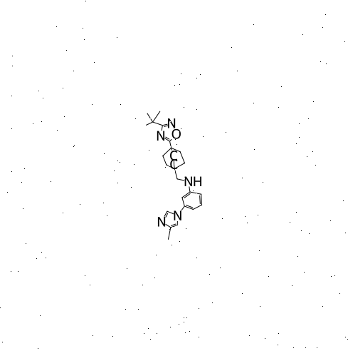 Cc1cn(-c2cccc(NCC34CCC(c5nc(C(C)(C)C)no5)(CC3)CC4)c2)cn1